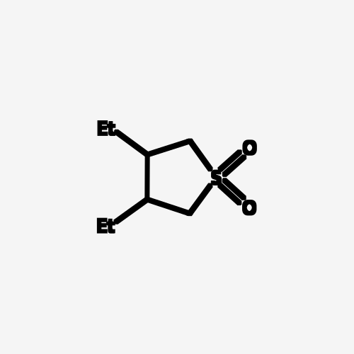 CCC1CS(=O)(=O)CC1CC